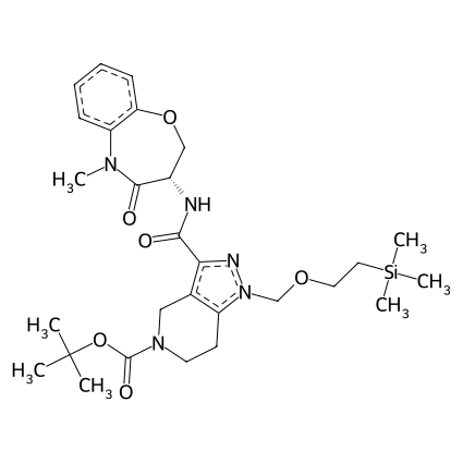 CN1C(=O)[C@@H](NC(=O)c2nn(COCC[Si](C)(C)C)c3c2CN(C(=O)OC(C)(C)C)CC3)COc2ccccc21